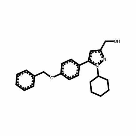 OCc1cc(-c2ccc(OCc3ccccc3)cc2)n(C2CCCCC2)n1